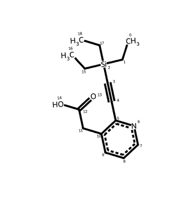 CC[Si](C#Cc1ncccc1CC(=O)O)(CC)CC